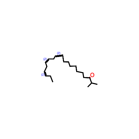 CC/C=C\C/C=C\C/C=C\CCCCCCCC(=O)C(C)C